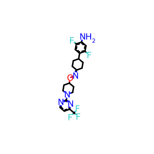 Nc1cc(F)c(C2CCC(=NOC3CCN(c4nccc(C(F)(F)F)n4)CC3)CC2)cc1F